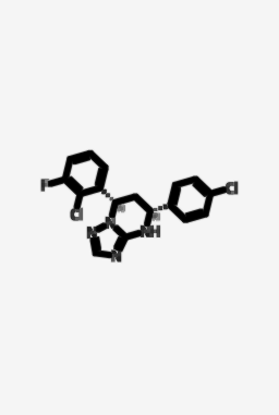 Fc1cccc([C@@H]2C[C@H](c3ccc(Cl)cc3)Nc3ncnn32)c1Cl